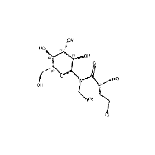 CC(C)CN(C(=O)N(CCCl)N=O)C1O[C@H](CO)[C@@H](O)[C@H](O)[C@H]1O